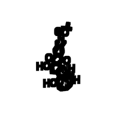 C[C@@H](O)[C@@]12O[C@]13c1cc(O)c4c(c1N[C@H]2C#C/C=C\C#C[C@H]3O)C(=O)c1cc2c(cc1C4=O)CN(C(=O)OC(C)(C)C)C2